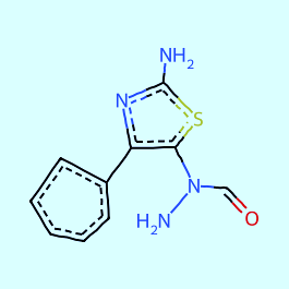 Nc1nc(-c2ccccc2)c(N(N)C=O)s1